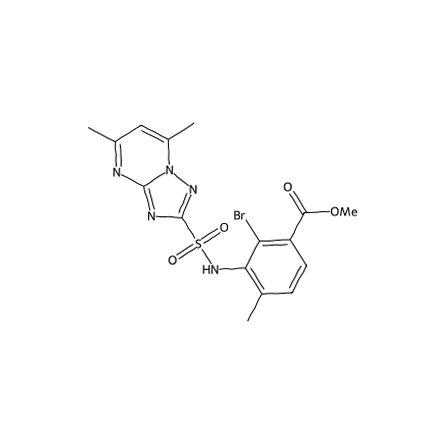 COC(=O)c1ccc(C)c(NS(=O)(=O)c2nc3nc(C)cc(C)n3n2)c1Br